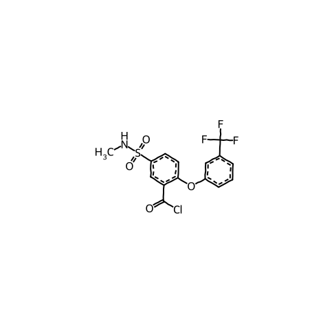 CNS(=O)(=O)c1ccc(Oc2cccc(C(F)(F)F)c2)c(C(=O)Cl)c1